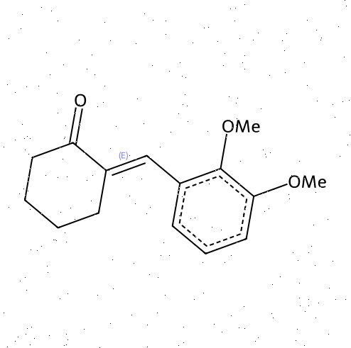 COc1cccc(/C=C2\CCCCC2=O)c1OC